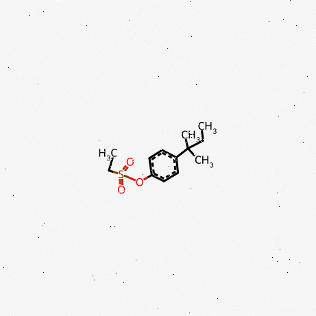 CCC(C)(C)c1ccc(OS(=O)(=O)CC)cc1